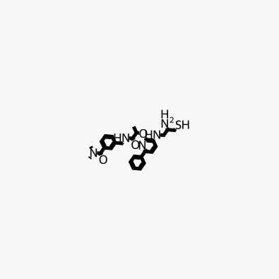 CC(Oc1nc(-c2ccccc2)ccc1NCC(N)CS)C(=O)NCc1cccc(C(=O)N(C)C)c1